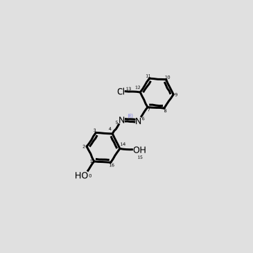 Oc1ccc(/N=N/c2ccccc2Cl)c(O)c1